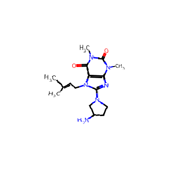 CC(C)=CCn1c(N2CCC(N)C2)nc2c1c(=O)n(C)c(=O)n2C